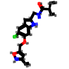 CO[C@@H](C)C(=O)NCc1cc2cc(Cl)c(OCc3cc(C)no3)cc2[nH]1